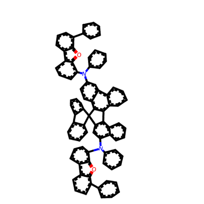 c1ccc(-c2cccc3c2oc2c(N(c4ccccc4)c4ccc5c6c(c7ccccc7c5c4)-c4c(cc(N(c5ccccc5)c5cccc7c5oc5c(-c8ccccc8)cccc57)c5ccccc45)C64c5ccccc5-c5ccccc54)cccc23)cc1